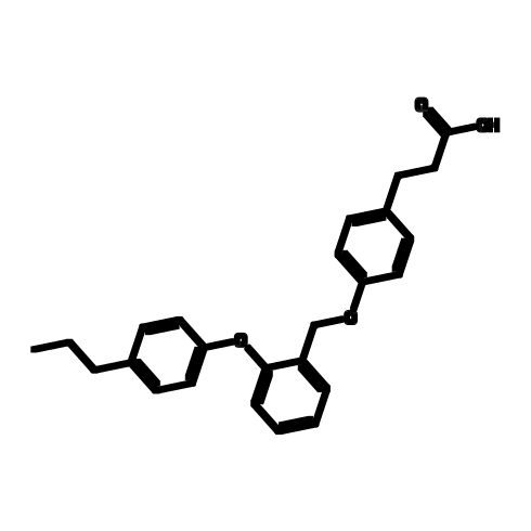 CCCc1ccc(Oc2ccccc2COc2ccc(CCC(=O)O)cc2)cc1